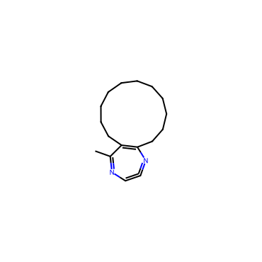 CC1=NC=C=NC2=C1CCCCCCCCCCC2